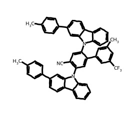 Cc1ccc(-c2ccc3c4ccccc4n(-c4cc(-c5cc(C)cc(C(F)(F)F)c5)c(-n5c6ccccc6c6ccc(-c7ccc(C)cc7)cc65)cc4C#N)c3c2)cc1